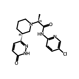 C[C@@H](C(=O)Nc1ccc(Cl)cn1)N1CCC[C@@H](c2ccc(=O)[nH]n2)C1